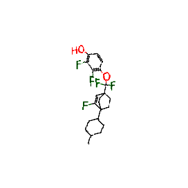 CC1CCC(C23CCC(C(F)(F)Oc4ccc(O)c(F)c4F)(C=C2F)CC3)CC1